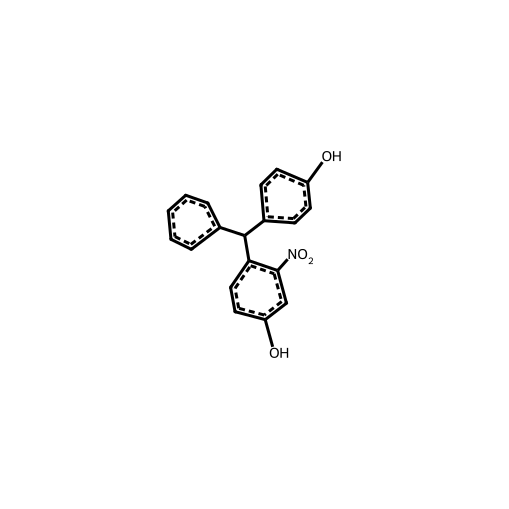 O=[N+]([O-])c1cc(O)ccc1C(c1ccccc1)c1ccc(O)cc1